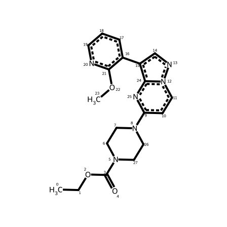 CCOC(=O)N1CCN(c2ccn3ncc(-c4cccnc4OC)c3n2)CC1